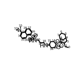 CCC1CC2CCCC(C2)C12OOC1(CCC(NCCCNS(=O)(=O)c3cccc4c(N(C)C)cccc34)CC1)O2